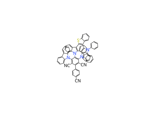 N#Cc1ccc(-c2c(C#N)c(-n3c4c(c5ccccc53)CCC=C4)c(-n3c4ccccc4c4c5sc6ccccc6c5c5c(c6ccccc6n5-c5ccccc5)c43)c(-n3c4ccccc4c4ccccc43)c2C#N)cc1